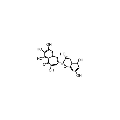 O=c1c(O)cc([C@H]2Oc3cc(O)cc(O)c3C[C@@H]2O)cc2cc(O)c(O)c(O)c12